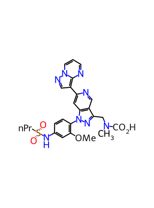 CCCS(=O)(=O)Nc1ccc(-n2nc(CN(C)C(=O)O)c3cnc(-c4cnn5cccnc45)cc32)c(OC)c1